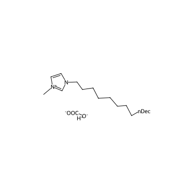 CCCCCCCCCCCCCCCCCCn1cc[n+](C)c1.O=C([O-])[O-].[H+]